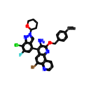 COc1ccc(COc2nc3c(cc(Br)c4ncccc43)c(-c3cc(F)c(Cl)c4nn(C5CCCCO5)cc34)c2N)cc1